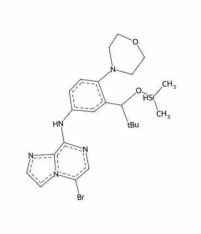 C[SiH](C)OC(c1cc(Nc2ncc(Br)n3ccnc23)ccc1N1CCOCC1)C(C)(C)C